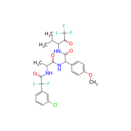 COc1ccc(C(NC(=O)C(C)NC(=O)C(F)(F)c2cccc(Cl)c2)C(=O)NC(C(=O)C(F)(F)F)C(C)C)cc1